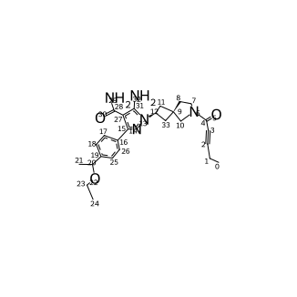 CCC#CC(=O)N1CC[C@]2(C1)C[C@H](n1nc(-c3ccc(C(C)OCC)cc3)c(C(N)=O)c1N)C2